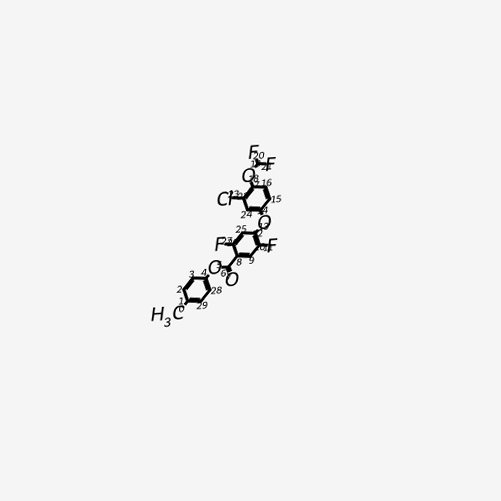 Cc1ccc(OC(=O)c2cc(F)c(Oc3ccc(OC(F)F)c(Cl)c3)cc2F)cc1